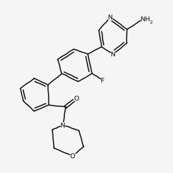 Nc1cnc(-c2ccc(-c3ccccc3C(=O)N3CCOCC3)cc2F)cn1